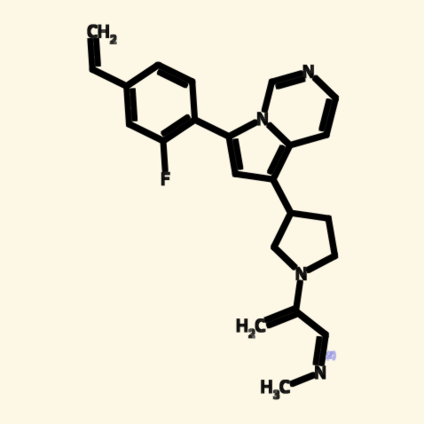 C=Cc1ccc(-c2cc(C3CCN(C(=C)/C=N\C)C3)c3ccncn23)c(F)c1